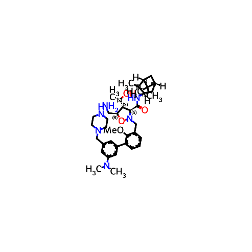 COc1c(CN2O[C@@H](CN)[C@H]([C@H](C)O)[C@H]2C(=O)N[C@H]2C[C@H]3C[C@@H]([C@@H]2C)C3(C)C)cccc1-c1cc(CN2CCNCC2)cc(N(C)C)c1